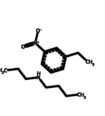 CCCCNCCC.CCc1cccc([N+](=O)[O-])c1